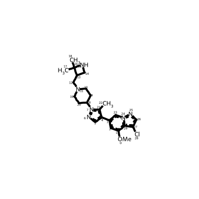 COc1cc(-c2cnn(C3CCN(CC4CNC4(C)C)CC3)c2C)cn2ncc(Cl)c12